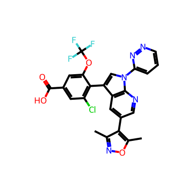 Cc1noc(C)c1-c1cnc2c(c1)c(-c1c(Cl)cc(C(=O)O)cc1OC(F)(F)F)cn2-c1cccnn1